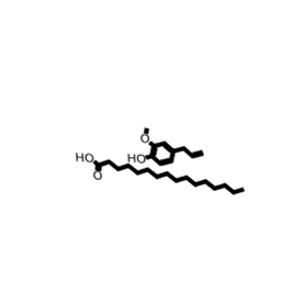 C=CCc1ccc(O)c(OC)c1.CCCCCCCCCCCCCCCC(=O)O